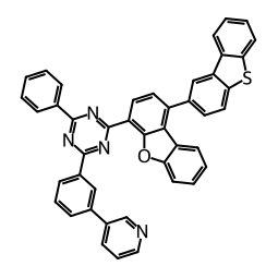 c1ccc(-c2nc(-c3cccc(-c4cccnc4)c3)nc(-c3ccc(-c4ccc5sc6ccccc6c5c4)c4c3oc3ccccc34)n2)cc1